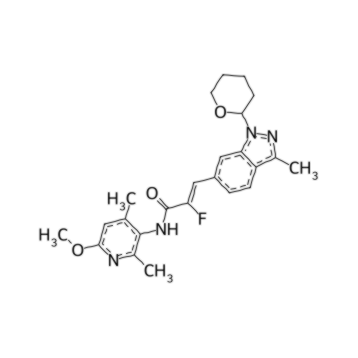 COc1cc(C)c(NC(=O)/C(F)=C/c2ccc3c(C)nn(C4CCCCO4)c3c2)c(C)n1